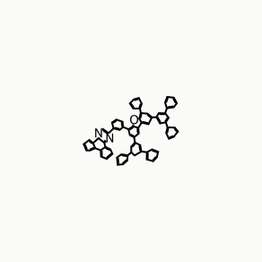 C1=C(c2cc(-c3cccc(-c4cnc5c6ccccc6c6ccccc6c5n4)c3)c3oc4c(-c5ccccc5)cc(-c5cc(-c6ccccc6)cc(-c6ccccc6)c5)cc4c3c2)C=C(c2ccccc2)CC1c1ccccc1